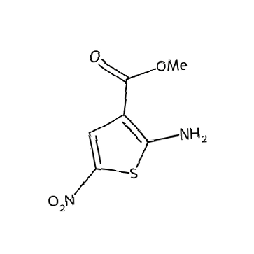 COC(=O)c1cc([N+](=O)[O-])sc1N